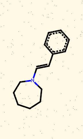 C(=C\N1CCCCCC1)/c1ccccc1